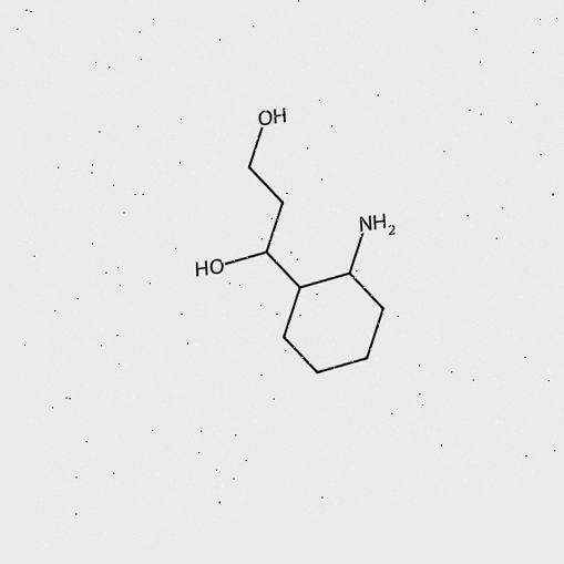 NC1CCCCC1C(O)CCO